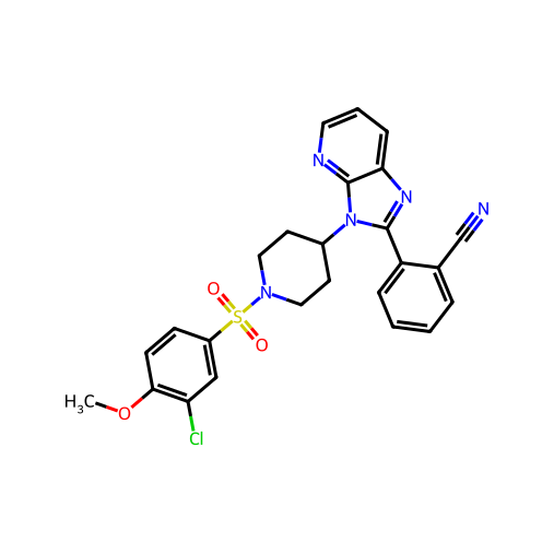 COc1ccc(S(=O)(=O)N2CCC(n3c(-c4ccccc4C#N)nc4cccnc43)CC2)cc1Cl